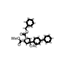 COC(=O)[C@@H]1C[C@@](OC(C)=O)(c2ccc(-c3ccccc3)cc2)CN1C(=O)OCc1ccccc1